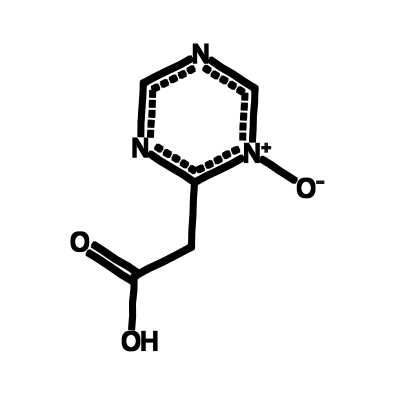 O=C(O)Cc1ncnc[n+]1[O-]